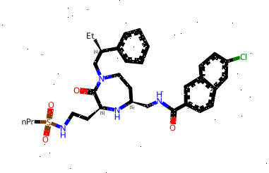 CCCS(=O)(=O)NCC[C@@H]1N[C@H](CNC(=O)c2ccc3cc(Cl)ccc3c2)CCN(C[C@@H](CC)c2ccccc2)C1=O